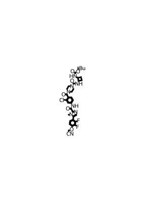 Cn1c(-c2ccc(OCC#N)c(F)c2F)cnc1C(=O)Nc1ccc(C(=O)N2CCN(C(=O)NC3CCC3NC(=O)OC(C)(C)C)CC2)c(Cl)c1